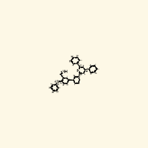 N=Cc1cc(-c2cccc(-c3cc(-c4ccccc4)cc(-c4ccccc4)n3)c2)ccc1Nc1ccccc1